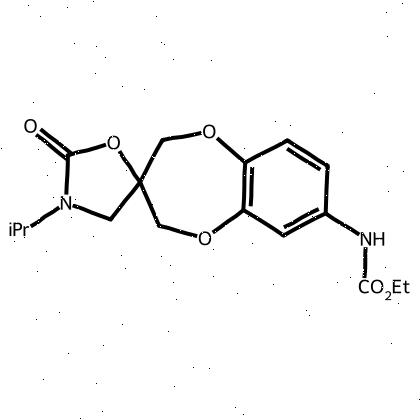 CCOC(=O)Nc1ccc2c(c1)OCC1(CO2)CN(C(C)C)C(=O)O1